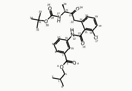 CC(C)COC(=O)c1cccc(NC(=O)c2c(Cl)cccc2CC(=O)[C@H](C)NC(=O)OC(C)(C)C)c1